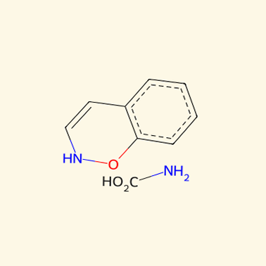 C1=Cc2ccccc2ON1.NC(=O)O